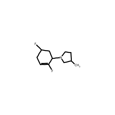 CC1CCN(C2CC(F)CC=C2F)C1